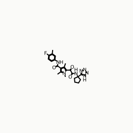 Cc1cc(NC(=O)c2c(C)c(C(=O)C(=O)NC3(c4nnn[nH]4)CCCC3)n(C)c2C)ccc1F